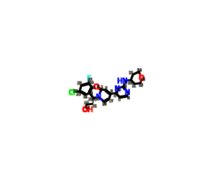 O=c1cc(-c2ccnc(NC3CCOCC3)n2)ccn1[C@H](CCO)c1cc(F)cc(Cl)c1